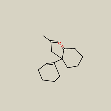 C=C(C)CC1(C2=CCCCC2)CCCCC1=O